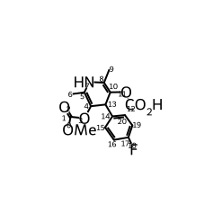 COC(=O)OC1=C(C)NC(C)=C(OC(=O)O)C1c1ccc(F)cc1